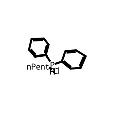 CCCCCCl.c1ccc(Pc2ccccc2)cc1